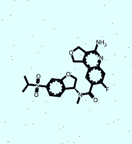 CC(C)S(=O)(=O)c1ccc2c(c1)OC[C@H]2N(C)C(=O)c1cc2c3c(c(N)nc2cc1F)COC3